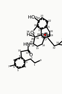 CCCc1ccc(C)cc1CC(=O)N[C@@H]1CC[C@@]2(O)C3Cc4ccc(O)c5c4[C@@]2(CCN3CC2CC2)[C@H]1O5